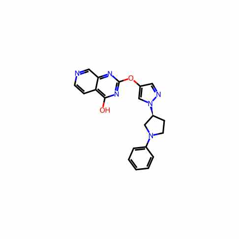 Oc1nc(Oc2cnn([C@H]3CCN(c4ccccc4)C3)c2)nc2cnccc12